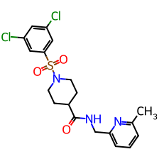 Cc1cccc(CNC(=O)C2CCN(S(=O)(=O)c3cc(Cl)cc(Cl)c3)CC2)n1